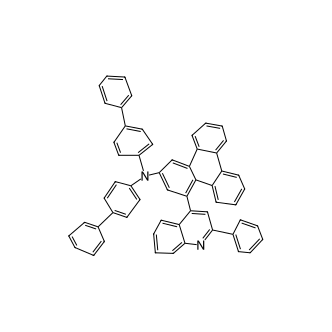 c1ccc(-c2ccc(N(c3ccc(-c4ccccc4)cc3)c3cc(-c4cc(-c5ccccc5)nc5ccccc45)c4c5ccccc5c5ccccc5c4c3)cc2)cc1